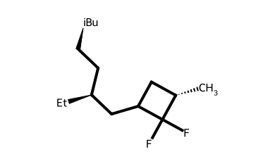 CC[C@H](C)CC[C@H](CC)CC1C[C@H](C)C1(F)F